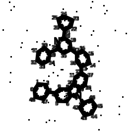 c1ccc(-c2ccc3c(c2)c2cc(-c4cccc(-c5cc(-c6ccccc6)nc(-c6ccccc6)c5)c4)ccc2n3-c2ccccc2)cc1